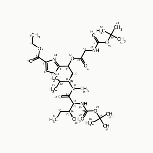 CCOC(=O)c1csc(C(C[C@H](C(C)C)N(C)C(=O)[C@@H](NC(=O)OC(C)(C)C)[C@@H](C)CC)OC(=O)CNC(=O)OC(C)(C)C)n1